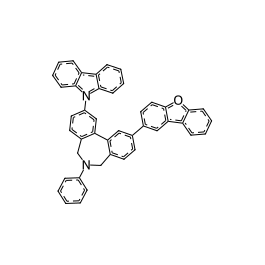 c1ccc(N2Cc3ccc(-c4ccc5oc6ccccc6c5c4)cc3-c3cc(-n4c5ccccc5c5ccccc54)ccc3C2)cc1